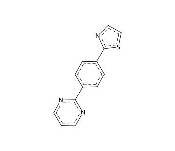 c1cnc(-c2ccc(-c3nccs3)cc2)nc1